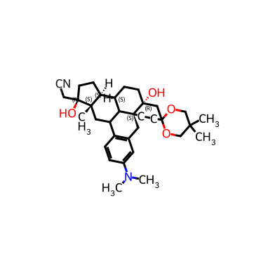 CN(C)c1ccc2c(c1)C[C@]13CCC4(C[C@]1(O)CC[C@@H]1C3C2C[C@@]2(C)[C@H]1CC[C@@]2(O)CC#N)OCC(C)(C)CO4